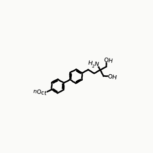 CCCCCCCCc1ccc(-c2ccc(CCC(N)(CO)CO)cc2)cc1